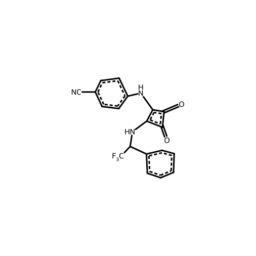 N#Cc1ccc(Nc2c(NC(c3ccccc3)C(F)(F)F)c(=O)c2=O)cc1